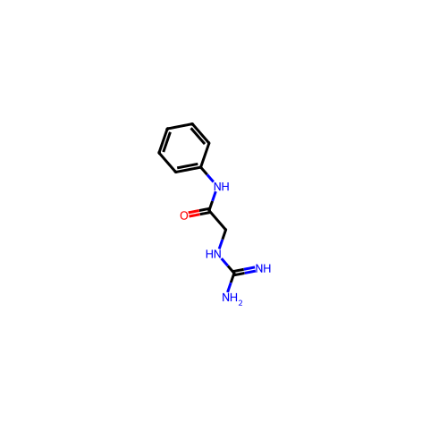 N=C(N)NCC(=O)Nc1ccccc1